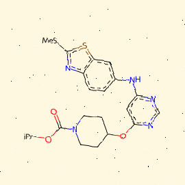 CSc1nc2ccc(Nc3cc(OC4CCN(C(=O)OC(C)C)CC4)ncn3)cc2s1